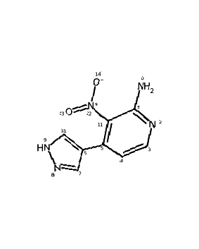 Nc1nccc(-c2cn[nH]c2)c1[N+](=O)[O-]